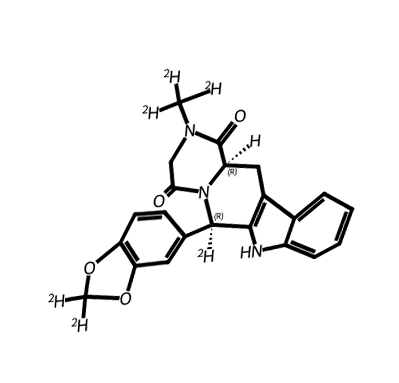 [2H]C1([2H])Oc2ccc([C@]3([2H])c4[nH]c5ccccc5c4C[C@@H]4C(=O)N(C([2H])([2H])[2H])CC(=O)N43)cc2O1